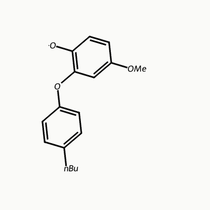 CCCCc1ccc(Oc2cc(OC)ccc2[O])cc1